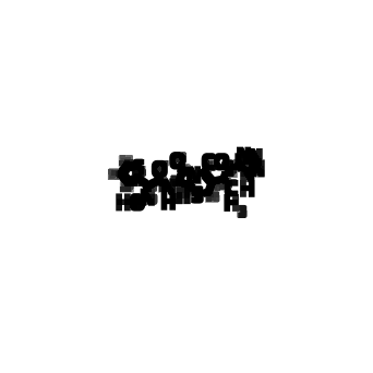 CC(Sc1nnn[nH]1)C1=C(C(=O)O)N2C(=O)[C@@H](NC(=O)C(=NO)c3cccs3)[C@@H]2SC1